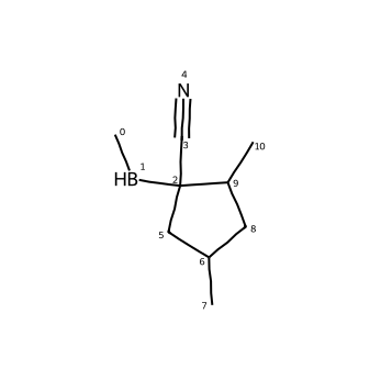 CBC1(C#N)CC(C)CC1C